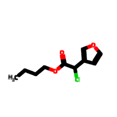 CCCCOC(=O)C(Cl)c1ccoc1